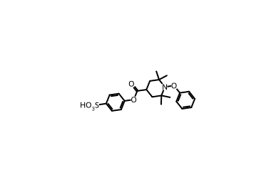 CC1(C)CC(C(=O)Oc2ccc(S(=O)(=O)O)cc2)CC(C)(C)N1Oc1ccccc1